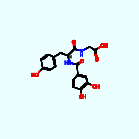 O=C(O)CNC(=O)[C@H](Cc1ccc(O)cc1)NC(=O)c1ccc(O)c(O)c1